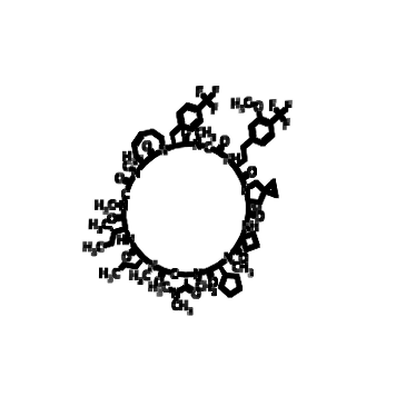 CCC[C@H]1C(=O)N[C@@H]([C@@H](C)CC)C(=O)N(C)CC(=O)N(C)[C@H]2C/C=C\CCN(C2=O)[C@@H](Cc2ccc(C(F)(F)F)cc2)C(=O)N(C)CC(=O)N[C@@H](CCc2ccc(C(F)(F)F)c(OC)c2)C(=O)N2CC3(CC3)C[C@H]2C(=O)NC2(CCC2)C(=O)N(C)[C@@H](C2CCCC2)C(=O)N(C)[C@H](C(=O)N(C)C)CC(=O)N1C